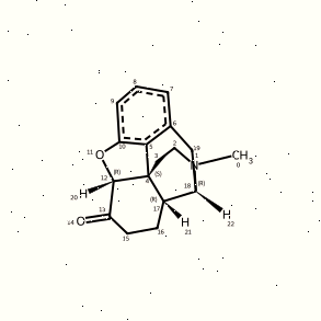 CN1CC[C@]23c4c5cccc4O[C@H]2C(=O)CC[C@H]3[C@H]1C5